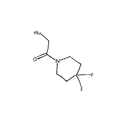 CC(C)(C)CC(=O)N1CCC(F)(F)CC1